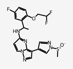 CC(Nc1ccn2ncc(-c3cnn([S+](C)[O-])c3)c2n1)c1cc(F)ccc1OCC(F)F